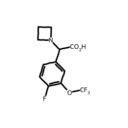 O=C(O)C(c1ccc(F)c(OC(F)(F)F)c1)N1CCC1